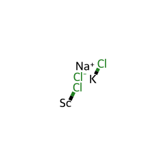 [Cl-].[Cl][K].[Cl][Sc].[Na+]